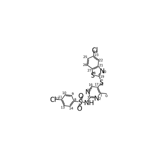 Cc1nc(NS(=O)(=O)c2ccc(Cl)cc2)ncc1Sc1nc2cc(Cl)ccc2s1